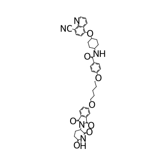 N#Cc1ccc(OC2CCC(NC(=O)c3ccc(OCCCCCOc4ccc5c(c4)C(=O)N(C4CCC(=O)NC4=O)C5=O)cc3)CC2)c2cccnc12